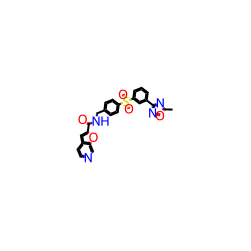 Cc1nc(-c2cccc(S(=O)(=O)c3ccc(CNC(=O)c4cc5ccncc5o4)cc3)c2)no1